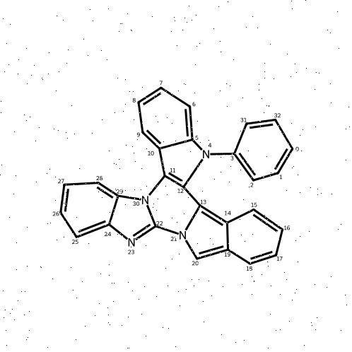 c1ccc(-n2c3ccccc3c3c2c2c4ccccc4cn2c2nc4ccccc4n32)cc1